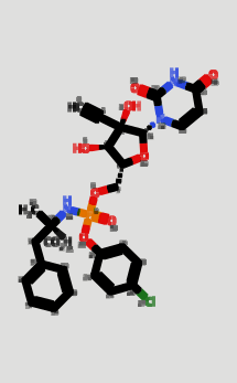 C#C[C@@]1(O)[C@H](O)[C@@H](COP(=O)(N[C@@](C)(Cc2ccccc2)C(=O)O)Oc2ccc(Cl)cc2)O[C@H]1n1ccc(=O)[nH]c1=O